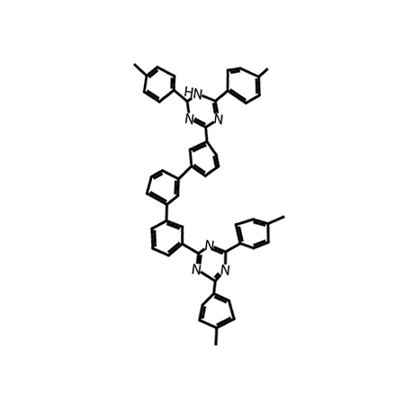 Cc1ccc(C2=NC(c3cccc(-c4cccc(-c5cccc(-c6nc(-c7ccc(C)cc7)nc(-c7ccc(C)cc7)n6)c5)c4)c3)=NC(c3ccc(C)cc3)N2)cc1